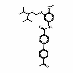 COc1ccc(NC(=O)c2ccc(-c3ccc(C(C)=O)cc3)cc2)cc1OCCN(C(C)C)C(C)C